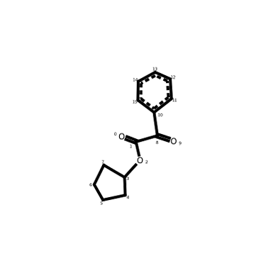 O=C(OC1CCCC1)C(=O)c1ccccc1